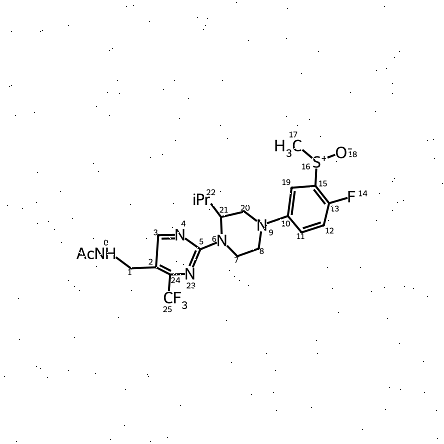 CC(=O)NCc1cnc(N2CCN(c3ccc(F)c([S+](C)[O-])c3)CC2C(C)C)nc1C(F)(F)F